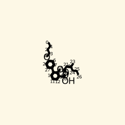 CCCCOc1ccc(-c2cccc(C(=O)O)c2OC(=O)C=C(C)CCC)cc1